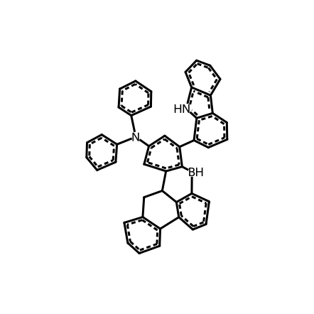 B1c2cccc3c2C(Cc2ccccc2-3)c2cc(N(c3ccccc3)c3ccccc3)cc(-c3cccc4c3[nH]c3ccccc34)c21